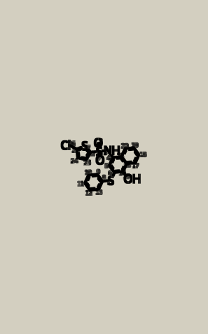 O=S(=O)(Nc1cc(Sc2ccccc2)c(O)c2ccccc12)c1ccc(Cl)s1